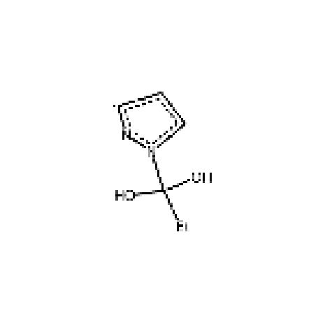 CCC(O)(O)n1cc[c]n1